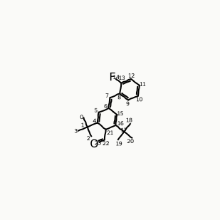 CC(C)(C)C1=CC(=Cc2ccccc2F)C=C(C(C)(C)C)C1C=O